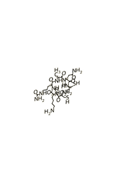 C[C@H](NC(=O)[C@H](CCCNC(N)=O)NC(=O)[C@H](CCCCN)NC(=O)[C@@H](N)CS)C(=O)N[C@@H](CC(N)=O)C(=O)N[C@@H](CS)C(=O)O